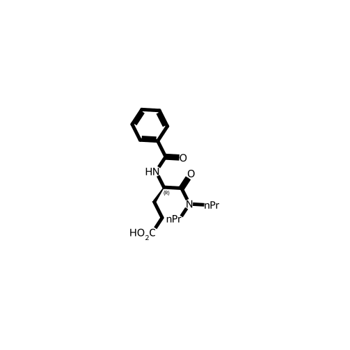 CCCN(CCC)C(=O)[C@@H](CCC(=O)O)NC(=O)c1ccccc1